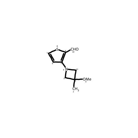 COC1(C)CN(c2ccsc2C=O)C1